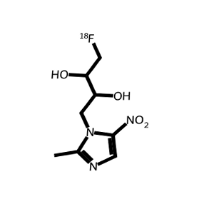 Cc1ncc([N+](=O)[O-])n1CC(O)C(O)C[18F]